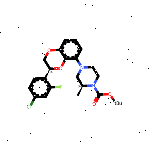 C[C@H]1CN(c2cccc3c2O[C@@H](c2ccc(Cl)cc2F)CO3)CCN1C(=O)OC(C)(C)C